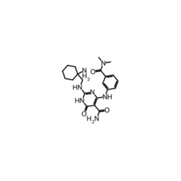 CN(C)C(=O)c1cccc(Nc2nc(NCC3(N)CCCCC3)[nH]c(=O)c2C(N)=O)c1